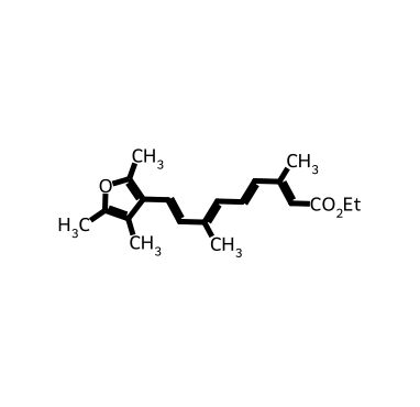 CCOC(=O)C=C(C)C=CC=C(C)C=Cc1c(C)oc(C)c1C